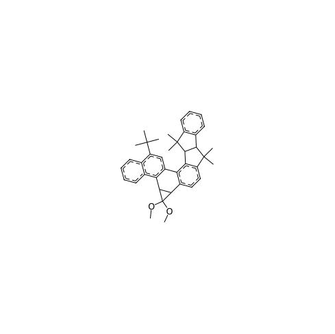 COC1(OC)C2c3ccc4c(c3-c3cc(C(C)(C)C)c5ccccc5c3C21)C1C(c2ccccc2C1(C)C)C4(C)C